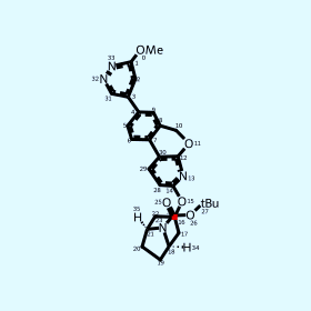 COc1cc(-c2ccc3c(c2)COc2nc(OC4C[C@H]5CC[C@@H](C4)N5C(=O)OC(C)(C)C)ccc2-3)cnn1